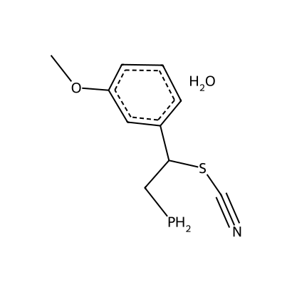 COc1cccc(C(CP)SC#N)c1.O